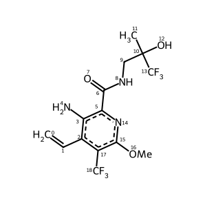 C=Cc1c(N)c(C(=O)NCC(C)(O)C(F)(F)F)nc(OC)c1C(F)(F)F